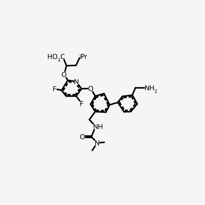 CC(C)CC(Oc1nc(Oc2cc(CNC(=O)N(C)C)cc(-c3cccc(CN)c3)c2)c(F)cc1F)C(=O)O